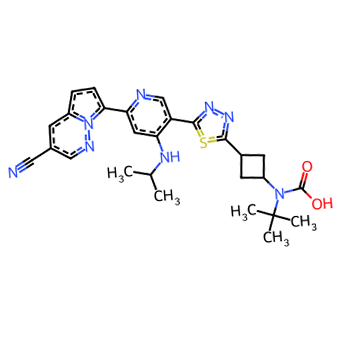 CC(C)Nc1cc(-c2ccc3cc(C#N)cnn23)ncc1-c1nnc(C2CC(N(C(=O)O)C(C)(C)C)C2)s1